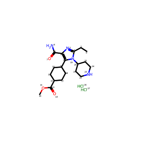 CCc1nc(C(N)=O)c(C2CCC(C(=O)OC)CC2)n1C1CCNCC1.Cl.Cl